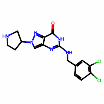 O=c1[nH]c(NCc2ccc(Cl)c(Cl)c2)nc2cn(C3CCNC3)nc12